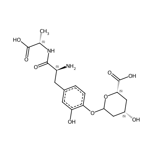 C[C@H](NC(=O)[C@@H](N)Cc1ccc(OC2C[C@@H](O)C[C@@H](C(=O)O)O2)c(O)c1)C(=O)O